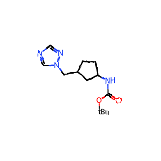 CC(C)(C)OC(=O)NC1CCC(Cn2cncn2)C1